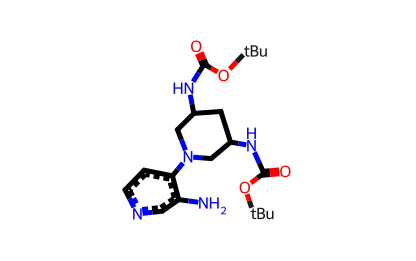 CC(C)(C)OC(=O)NC1CC(NC(=O)OC(C)(C)C)CN(c2ccncc2N)C1